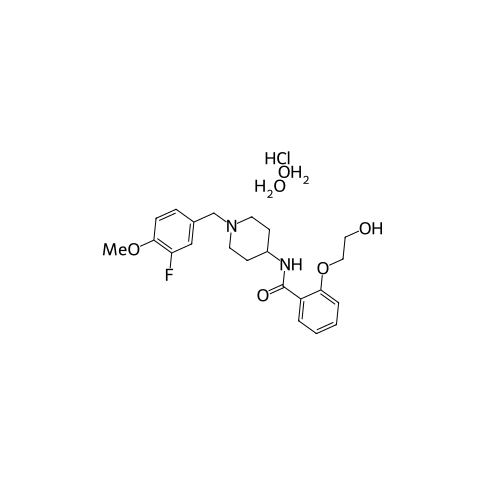 COc1ccc(CN2CCC(NC(=O)c3ccccc3OCCO)CC2)cc1F.Cl.O.O